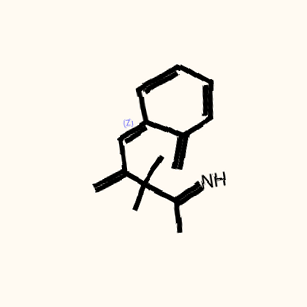 C=C(/C=c1/ccccc1=C)C(C)(C)C(C)=N